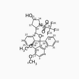 COc1cccc(C(OCC2CC(O)CN2S(=O)(=O)C(F)(F)F)(c2ccccc2)c2ccccc2)c1OC